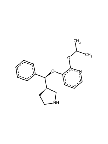 CC(C)Oc1ncccc1O[C@H](c1ccccc1)[C@@H]1CCNC1